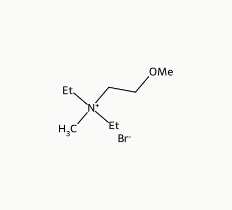 CC[N+](C)(CC)CCOC.[Br-]